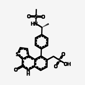 C[C@@H](NS(C)(=O)=O)c1ccc(-c2c(CS(=O)(=O)O)ccc3[nH]c(=O)c4sccc4c23)cc1